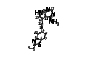 CCc1nc2c(s1)CCC(C#Cc1c[nH]c3ncnc(N)c13)=C2